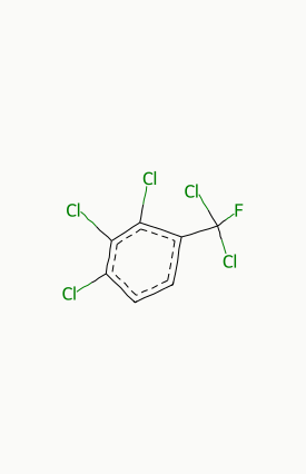 FC(Cl)(Cl)c1ccc(Cl)c(Cl)c1Cl